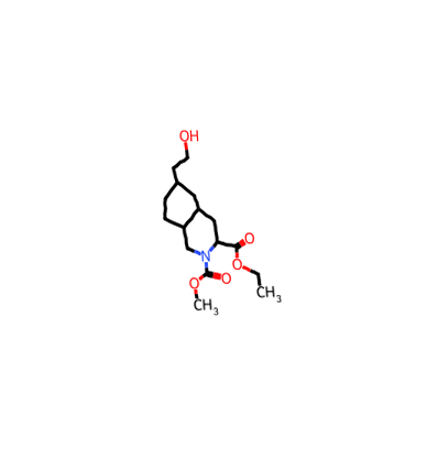 CCOC(=O)C1CC2CC(CCO)CCC2CN1C(=O)OC